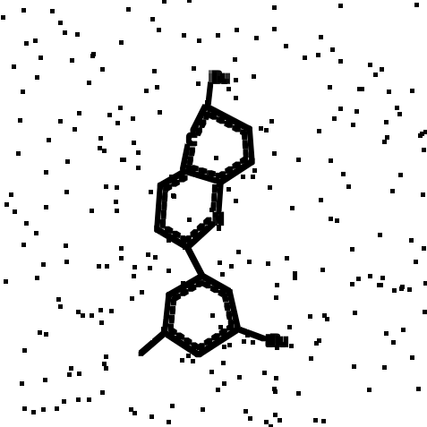 CCC(C)c1ccc2nc(-c3cc(C)cc(C(C)(C)C)c3)ccc2c1